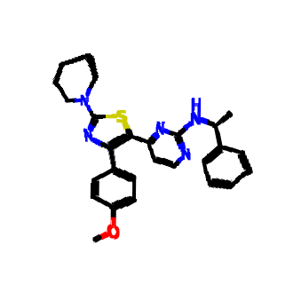 COc1ccc(-c2nc(N3CCCCC3)sc2-c2ccnc(N[C@@H](C)c3ccccc3)n2)cc1